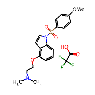 COc1ccc(S(=O)(=O)n2ccc3c(OCCN(C)C)cccc32)cc1.O=C(O)C(F)(F)F